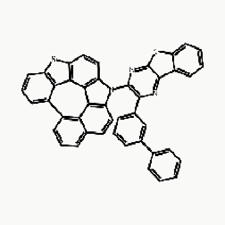 c1ccc(-c2cccc(-c3nc4c(nc3-n3c5ccc6cccc7c6c5c5c6c(ccc53)sc3cccc-7c36)sc3ccccc34)c2)cc1